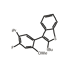 COc1cc(F)c(C(C)C)cc1-c1c(C(C)(C)C)sc2ccccc12